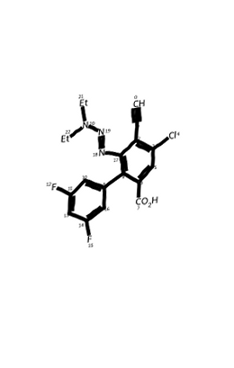 C#Cc1c(Cl)cc(C(=O)O)c(-c2cc(F)cc(F)c2)c1N=NN(CC)CC